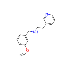 CCCOc1cccc(CNCCc2cccnc2)c1